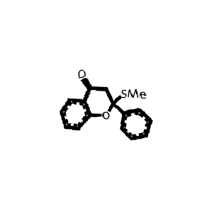 CSC1(c2ccccc2)CC(=O)c2ccccc2O1